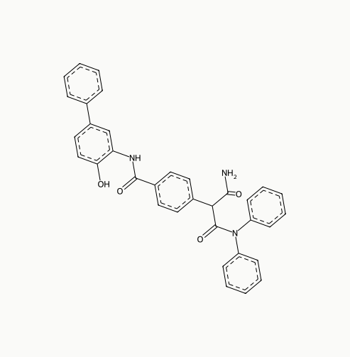 NC(=O)C(C(=O)N(c1ccccc1)c1ccccc1)c1ccc(C(=O)Nc2cc(-c3ccccc3)ccc2O)cc1